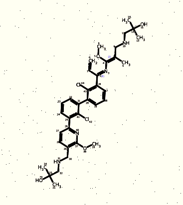 C=C/C(=N\C(OC)=C(/C)CNCC(C)(C)O)c1cccc(-c2cccc(-c3ccc(CNCC(C)(C)O)c(OC)n3)c2Cl)c1Cl